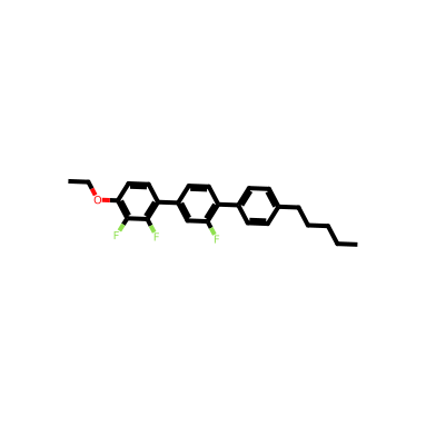 CCCCCc1ccc(-c2ccc(-c3ccc(OCC)c(F)c3F)cc2F)cc1